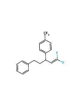 FC(F)=CC(CCc1ccccc1)c1ccc(C(F)(F)F)cc1